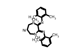 Cc1cccc(C)c1N=C1C(=Nc2c(C)cccc2C)N(C)CCCN1C.[Ni]